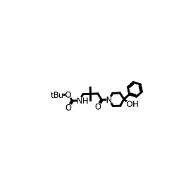 CC(C)(CNC(=O)OC(C)(C)C)CC(=O)N1CCC(O)(c2ccccc2)CC1